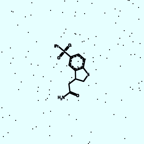 CC(C)S(=O)(=O)c1ccc2c(c1)C(CC(N)=O)CS2